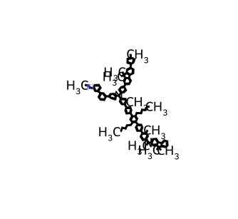 C/C=C/c1cccc(-c2cccc(-c3ccc(N(c4ccc(-c5ccc6c(c5)C(C)(C)c5cc(-c7ccc(C)cc7)ccc5-6)cc4)c4ccc(-c5ccc(-c6cc(CCCCCC)c(-c7ccc(-c8ccc(N(C)c9ccc%10c(c9)C(C)(C)c9ccccc9-%10)cc8C)cc7)cc6CCCCCC)cc5)c(C)c4)cc3)c2)c1